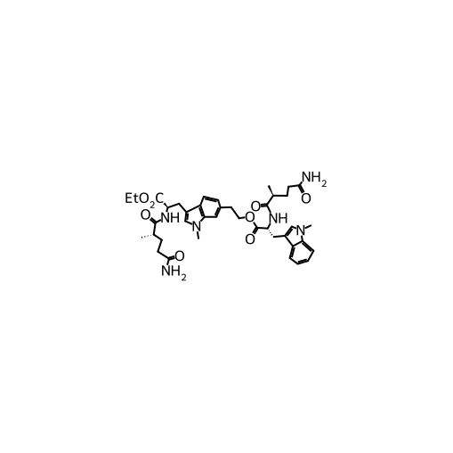 CCOC(=O)[C@@H](Cc1cn(C)c2cc(CCOC(=O)[C@@H](Cc3cn(C)c4ccccc34)NC(=O)[C@@H](C)CCC(N)=O)ccc12)NC(=O)[C@@H](C)CCC(N)=O